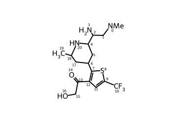 CNCC(N)C1CC(c2sc(C(F)(F)F)cc2C(=O)CO)CC(C)N1